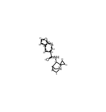 O=C(N[C@@H]1C2CCN(C2)C12CC2)c1cnc2occc2c1